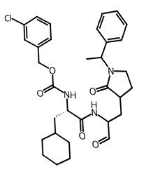 CC(c1ccccc1)N1CCC(CC(C=O)NC(=O)[C@H](CC2CCCCC2)NC(=O)OCc2cccc(Cl)c2)C1=O